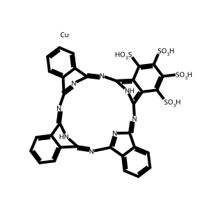 O=S(=O)(O)c1c(S(=O)(=O)O)c(S(=O)(=O)O)c2c3nc4nc(nc5[nH]c(nc6nc(nc([nH]3)c2c1S(=O)(=O)O)-c1ccccc1-6)c1ccccc51)-c1ccccc1-4.[Cu]